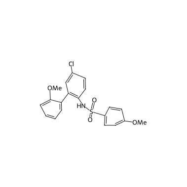 COc1ccc(S(=O)(=O)Nc2ccc(Cl)cc2-c2ccccc2OC)cc1